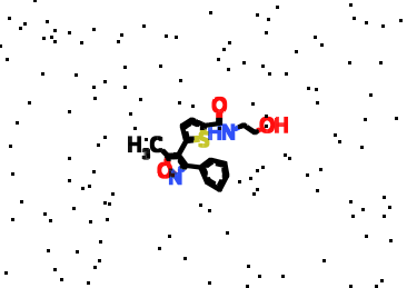 Cc1onc(-c2ccccc2)c1-c1ccc(C(=O)NCCO)s1